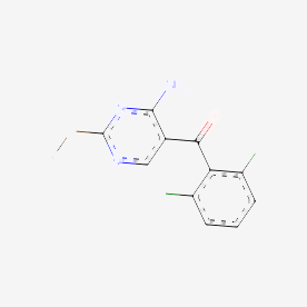 CCSc1ncc(C(=O)c2c(F)cccc2F)c(N)n1